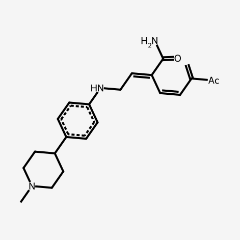 C=C(/C=C\C(=C/CNc1ccc(C2CCN(C)CC2)cc1)C(N)=O)C(C)=O